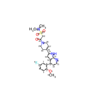 COc1ccc(F)cc1-c1ccnc2[nH]c(C3=CCN(C(=O)CS(=O)(=O)N(C)C)CC3)cc12